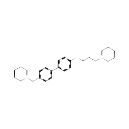 c1cc(-c2ccc(OCCCN3CCCCC3)cc2)ccc1CN1CCCCC1